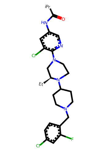 CC[C@H]1CN(c2ncc(NC(=O)C(C)C)cc2Cl)CCN1C1CCN(Cc2ccc(Cl)cc2F)CC1